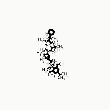 CNC(C(=O)NC(C(=O)N(C)C(/C=C(\C)C(=O)NS(=O)(=O)c1c(C(C)C)cc(C(C)C)cc1C(C)C)C(C)C)C(C)(C)C)C(C)(C)c1ccccc1